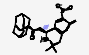 Cc1cc2c(cc1[N+](=O)[O-])/C(=C/C(=O)C13CC4CC(CC(C4)C1)C3)NC(C)(C)C2